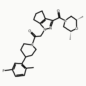 Cc1ccc(F)cc1C1CCN(C(=O)Cn2nc(C(=O)N3C[C@@H](C)O[C@@H](C)C3)c3c2CCC3)CC1